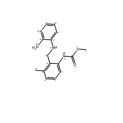 COC(=O)Nc1cccc(C)c1CNc1cccnc1N